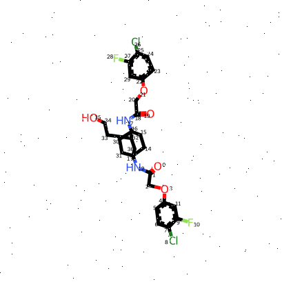 O=C(COc1ccc(Cl)c(F)c1)NC12CCC(NC(=O)COc3ccc(Cl)c(F)c3)(CC1)C(CCO)C2